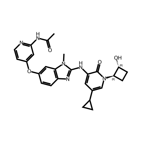 CC(=O)Nc1cc(Oc2ccc3nc(Nc4cc(C5CC5)cn([C@@H]5CC[C@H]5O)c4=O)n(C)c3c2)ccn1